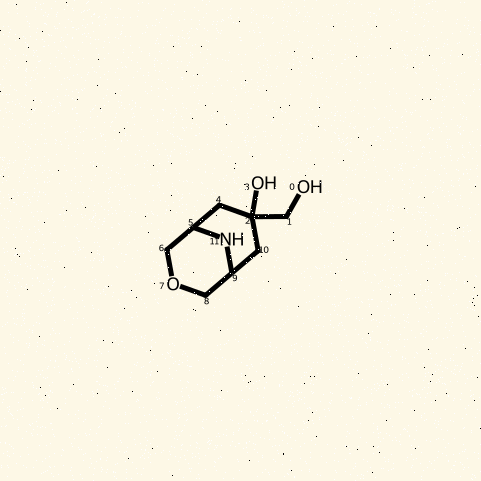 OCC1(O)CC2COCC(C1)N2